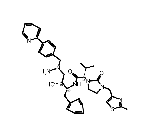 Cc1nc(CN2CCN([C@H](C(=O)N[C@@H](Cc3ccccc3)[C@H](O)CN(N)Cc3ccc(-c4ccccn4)cc3)C(C)C)C2=O)cs1